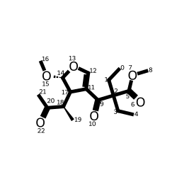 CCC(CC)(C(=O)OC)C(=O)C1=CO[C@@H](OC)C1[C@@H](C)C(C)=O